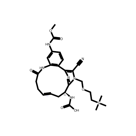 COC(=O)Nc1ccc2c(c1)NC(=O)CC/C=C/C[C@H](NC(=O)O)c1nc-2c(C#N)n1COCC[Si](C)(C)C